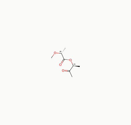 CO[C@H](C)C(=O)O[C@@H](C)C(C)=O